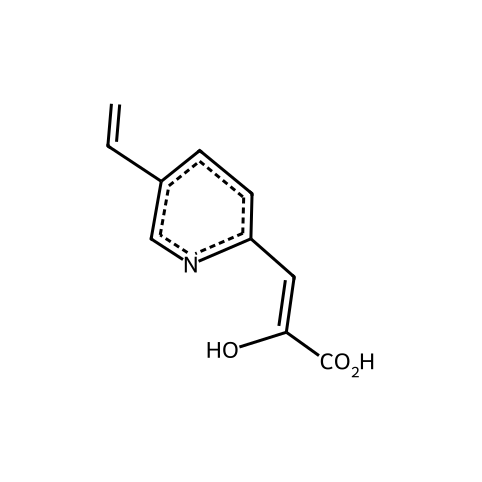 C=Cc1ccc(/C=C(\O)C(=O)O)nc1